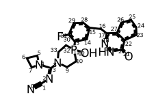 N#CN=C(N1CCC1)N1CC[P](O)(c2cc(Cc3n[nH]c(=O)c4ccccc34)ccc2F)CC1